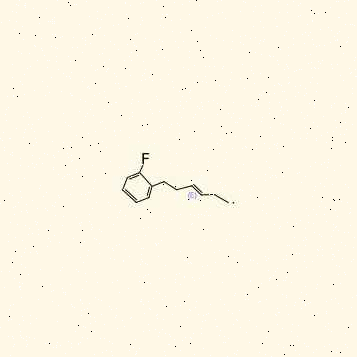 [CH2]C/C=C/CCc1ccccc1F